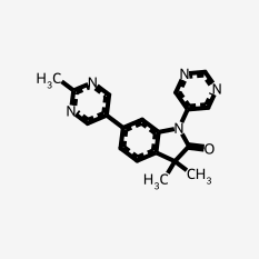 Cc1ncc(-c2ccc3c(c2)N(c2cncnc2)C(=O)C3(C)C)cn1